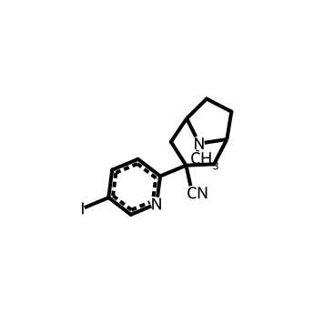 CN1C2CCC1CC(C#N)(c1ccc(I)cn1)C2